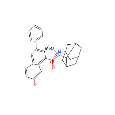 COC(=O)C12CC3CC(C1)C(NC(=O)c1c(C)c(-c4ccccc4)cc4ccc(Br)cc14)C(C3)C2